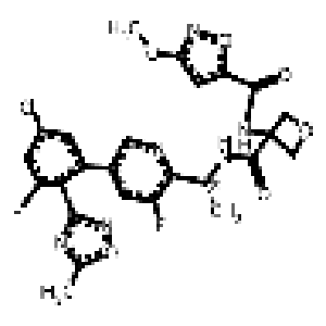 COc1cc(C(=O)NC2(C(=O)N[C@H](C)c3ncc(-c4cc(Cl)cc(F)c4-c4noc(C)n4)cc3F)COC2)on1